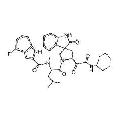 CC(C)CC(C(=O)N1C[C@]2(C[C@H]1C(=O)C(=O)NC1CCCCC1)C(=O)Nc1ccccc12)N(C)C(=O)c1cc2c(F)cccc2[nH]1